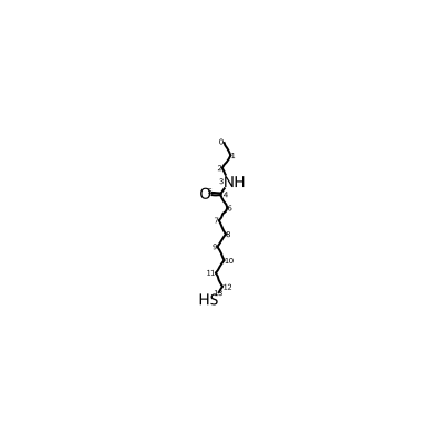 CCCNC(=O)CCCCCCCS